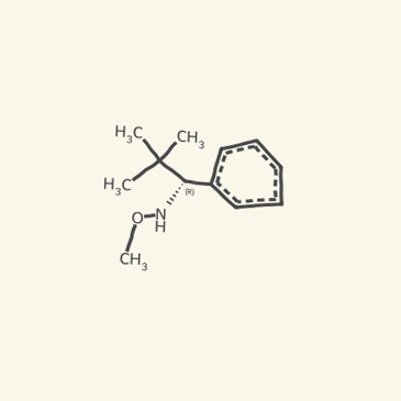 CON[C@@H](c1ccccc1)C(C)(C)C